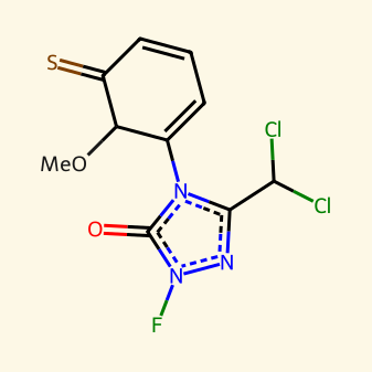 COC1C(=S)C=CC=C1n1c(C(Cl)Cl)nn(F)c1=O